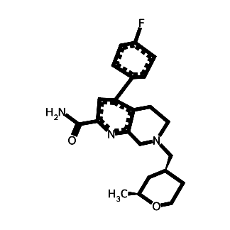 C[C@H]1C[C@@H](CN2CCc3c(-c4ccc(F)cc4)cc(C(N)=O)nc3C2)CCO1